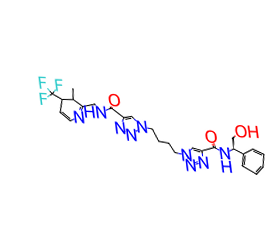 CC1C(CNC(=O)c2cn(CCCCn3cc(C(=O)N[C@@H](CO)c4ccccc4)nn3)nn2)=NC=CC1C(F)(F)F